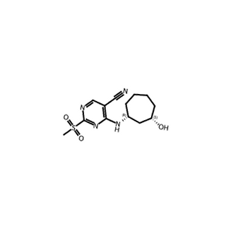 CS(=O)(=O)c1ncc(C#N)c(N[C@@H]2CCCC[C@H](O)C2)n1